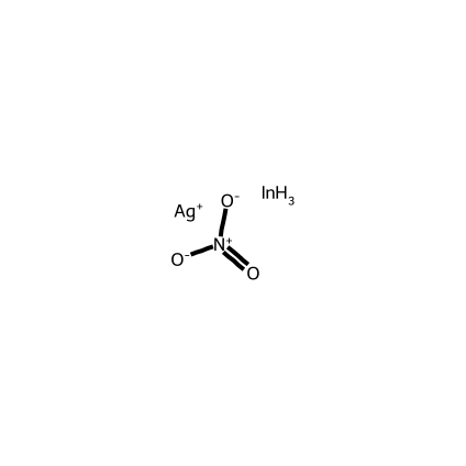 O=[N+]([O-])[O-].[Ag+].[InH3]